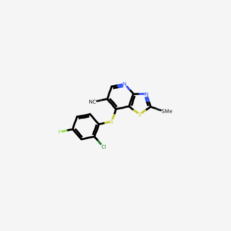 CSc1nc2ncc(C#N)c(Sc3ccc(F)cc3Cl)c2s1